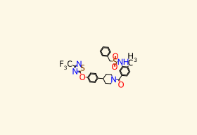 Cc1ccc(C(=O)N2CCC(c3ccc(Oc4nc(C(F)(F)F)ns4)cc3)CC2)cc1NS(=O)(=O)Cc1ccccc1